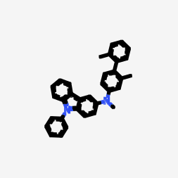 Cc1ccccc1-c1ccc(N(C)c2ccc3c(c2)c2ccccc2n3-c2ccccc2)cc1C